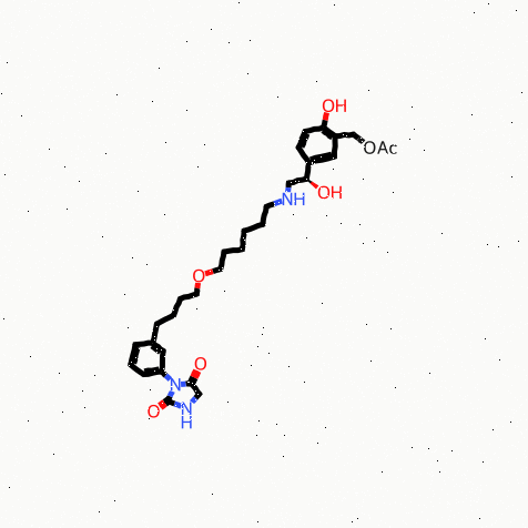 CC(=O)OCc1cc([C@@H](O)CNCCCCCCOCCCCc2cccc(N3C(=O)CNC3=O)c2)ccc1O